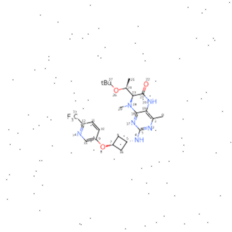 Cc1nc(N[C@H]2C[C@H](Oc3ccc(C(F)(F)F)nc3)C2)nc2c1NC(=O)[C@H]([C@H](C)OC(C)(C)C)N2C